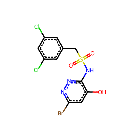 O=S(=O)(Cc1cc(Cl)cc(Cl)c1)Nc1nnc(Br)cc1O